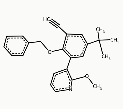 C#Cc1cc(C(C)(C)C)cc(-c2cccnc2OC)c1OCc1ccccc1